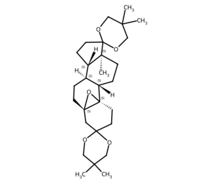 CC1(C)COC2(CC[C@@]34O[C@@]3(CC[C@H]3[C@@H]5CCC6(OCC(C)(C)CO6)[C@@]5(C)CC[C@@H]34)C2)OC1